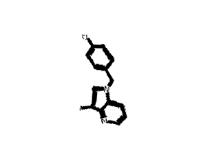 Clc1ccc(Cn2cc(I)c3ncccc32)cc1